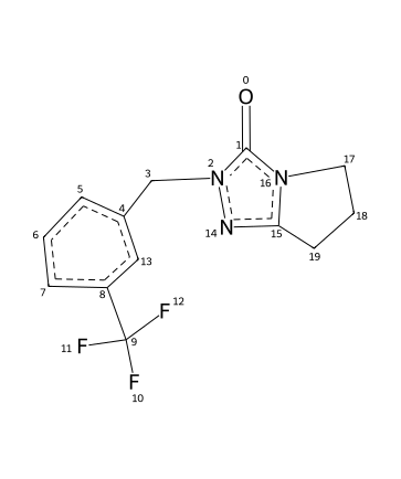 O=c1n(Cc2cccc(C(F)(F)F)c2)nc2n1CCC2